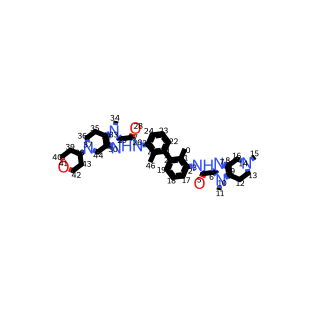 Cc1c(NC(=O)c2nc3c(n2C)CCN(C)C3)cccc1-c1cccc(NC(=O)c2nc3c(n2C)CCN(C2CCOCC2)C3)c1C